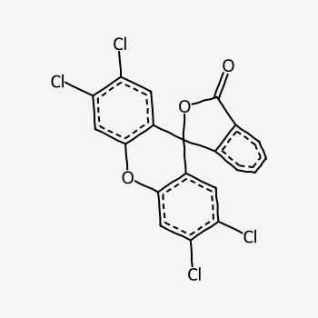 O=C1OC2(c3cc(Cl)c(Cl)cc3Oc3cc(Cl)c(Cl)cc32)c2ccccc21